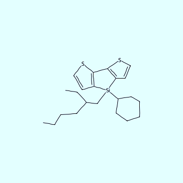 CCCCC(CC)C[Si]1(C2CCCCC2)c2ccsc2-c2sccc21